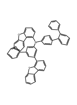 c1ccc(-c2cc(-c3cccc4c3sc3ccccc34)cc(N(c3ccc(-c4ccccc4-c4ccccc4)cc3)c3cccc4oc5ccccc5c34)c2)cc1